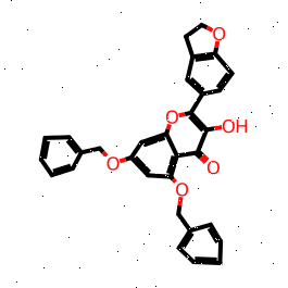 O=c1c(O)c(-c2ccc3c(c2)CCO3)oc2cc(OCc3ccccc3)cc(OCc3ccccc3)c12